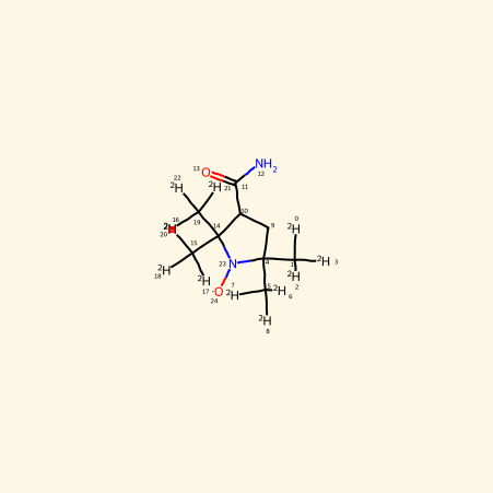 [2H]C([2H])([2H])C1(C([2H])([2H])[2H])CC(C(N)=O)C(C([2H])([2H])[2H])(C([2H])([2H])[2H])N1[O]